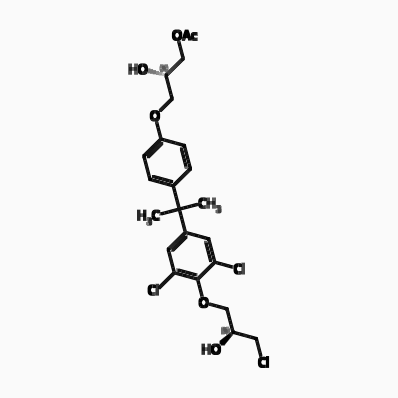 CC(=O)OC[C@@H](O)COc1ccc(C(C)(C)c2cc(Cl)c(OC[C@H](O)CCl)c(Cl)c2)cc1